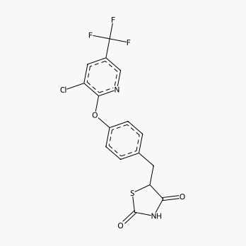 O=C1NC(=O)C(Cc2ccc(Oc3ncc(C(F)(F)F)cc3Cl)cc2)S1